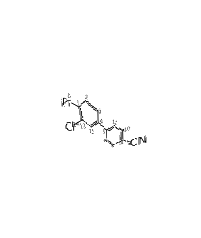 CC(C)c1ccc(-c2ccc(C#N)cc2)cc1Cl